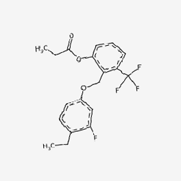 CCC(=O)Oc1cccc(C(F)(F)F)c1COc1ccc(CC)c(F)c1